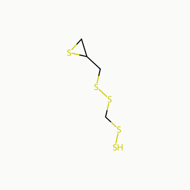 SSCSSCC1CS1